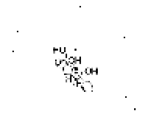 C[C@H]1C[C@H]2[C@@H]3CCC4=CC=C=C[C@]4(C)[C@@]3(F)[C@@H](O)C[C@]2(C)[C@@]1(O)C(=O)CO